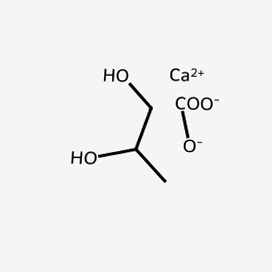 CC(O)CO.O=C([O-])[O-].[Ca+2]